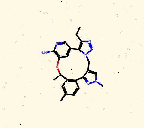 CCc1nnn2c1-c1cnc(N)c(c1)O[C@H](C)c1cc(C)ccc1-c1nn(C)cc1C2